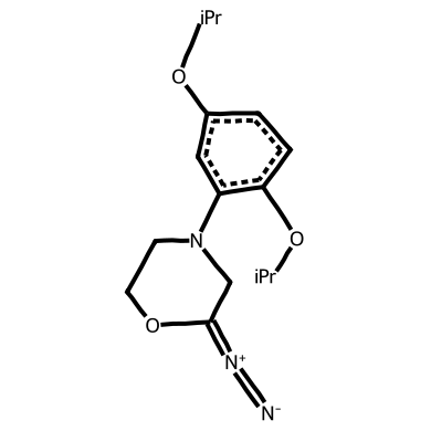 CC(C)Oc1ccc(OC(C)C)c(N2CCOC(=[N+]=[N-])C2)c1